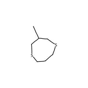 CC1CSCCCSC1